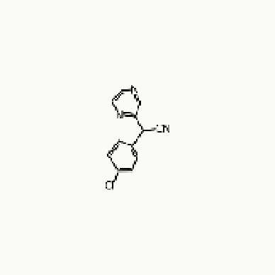 N#CC(c1ccc(Cl)cc1)c1cnccn1